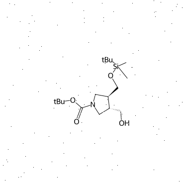 CC(C)(C)OC(=O)N1C[C@@H](CO)[C@H](CO[Si](C)(C)C(C)(C)C)C1